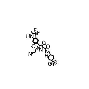 COc1cc(NC(C)C(F)(F)F)ccc1-c1c(Cl)c(C(=O)NCC2CCC(S(C)(=O)=O)CC2)nn1CCC#N